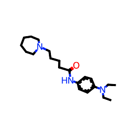 CCN(CC)c1ccc(NC(=O)CCCCN2CCCCCC2)cc1